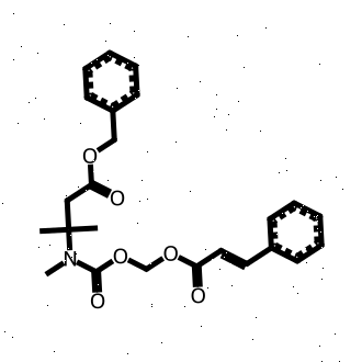 CN(C(=O)OCOC(=O)C=Cc1ccccc1)C(C)(C)CC(=O)OCc1ccccc1